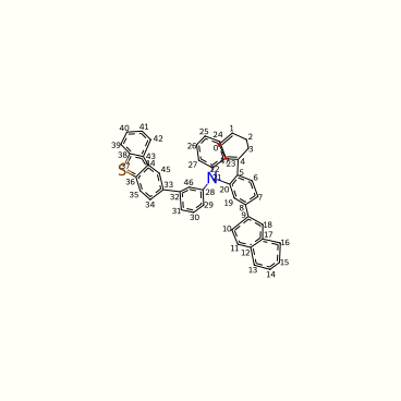 C1=CCCC(c2ccc(-c3ccc4ccccc4c3)cc2N(c2ccccc2)c2cccc(-c3ccc4sc5ccccc5c4c3)c2)=C1